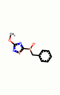 COc1nsc([S+]([O-])Cc2ccccc2)n1